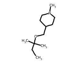 CCC(C)(C)OCC1CCN(C)CC1